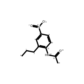 CCCc1cc([N+](=O)[O-])ccc1NC(C)=O